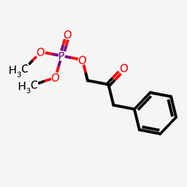 COP(=O)(OC)OCC(=O)Cc1ccccc1